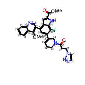 COC(=O)c1cc2c(-c3cnc4ccccc4c3OC)cc(C3=CCCN(C(=O)CCn4ccnn4)C3)c(F)c2[nH]1